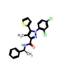 Cc1c(C(=O)N[C@@H](C)c2ccccc2)nn(-c2ccc(Cl)cc2Cl)c1-c1cccs1